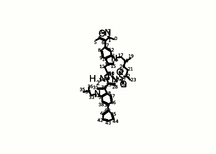 Cc1noc(C)c1-c1ccc2c(CCN)cn(CC(C)CCC(C)S(=O)(=O)n3cc(-c4cn(CC(C)C)c5cc(-c6ccccc6)ccc45)cn3)c2c1